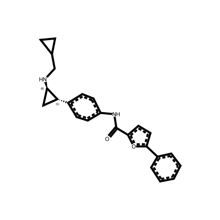 O=C(Nc1ccc([C@@H]2C[C@H]2NCC2CC2)cc1)c1ccc(-c2ccccc2)o1